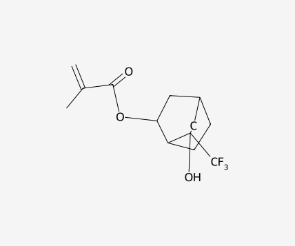 C=C(C)C(=O)OC1CC2CCC1C(O)(C(F)(F)F)C2